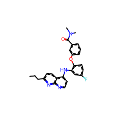 CCCc1ccc2c(Nc3cc(F)ccc3Oc3cccc(C(=O)N(C)C)c3)ccnc2n1